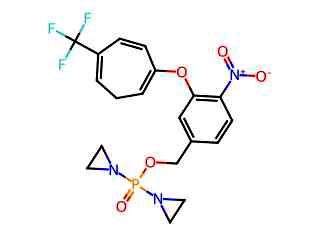 O=[N+]([O-])c1ccc(COP(=O)(N2CC2)N2CC2)cc1OC1=CCC=C(C(F)(F)F)C=C1